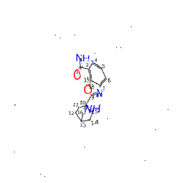 NC(=O)c1cccc2nc(C34CCC(CC3)CN4)oc12